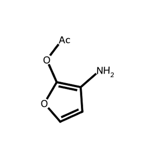 CC(=O)Oc1occc1N